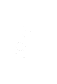 C=C(/C=C/c1ccc2c(c1)OCO2)N1CCSCC1